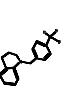 FC(F)(F)c1ccc(CN2CCCc3c[c]ccc32)cc1